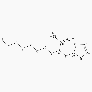 CCCCCCCCC(CC1CC=CC1)C(=O)O